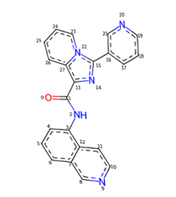 O=C(Nc1cccc2cnccc12)c1nc(-c2cccnc2)n2ccccc12